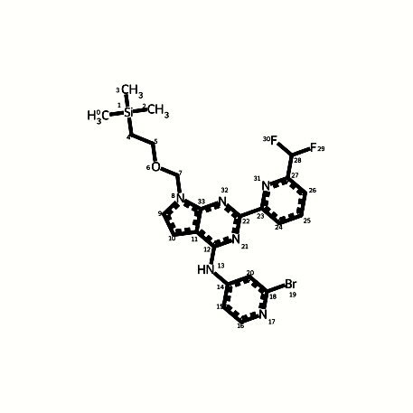 C[Si](C)(C)CCOCn1ccc2c(Nc3ccnc(Br)c3)nc(-c3cccc(C(F)F)n3)nc21